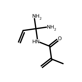 C=CC(N)(N)NC(=O)C(=C)C